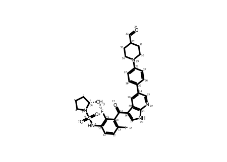 C[C@H]1CCCN1S(=O)(=O)Nc1ccc(F)c(C(=O)c2c[nH]c3ncc(-c4ccc(N5CCC(C=O)CC5)cc4)cc23)c1F